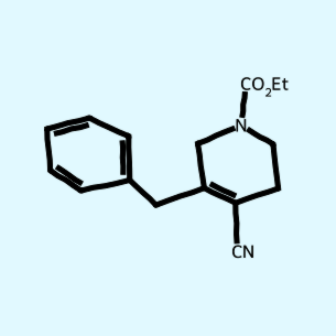 CCOC(=O)N1CCC(C#N)=C(Cc2ccccc2)C1